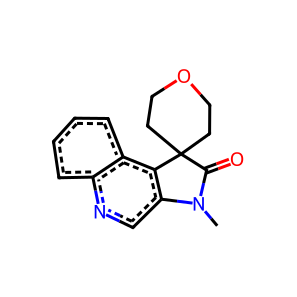 CN1C(=O)C2(CCOCC2)c2c1cnc1ccccc21